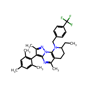 CCC1CCc2c(C)nc3c(-c4c(C)cc(C)cc4C)c(C)nn3c2N1Cc1ccc(C(F)(F)F)cc1